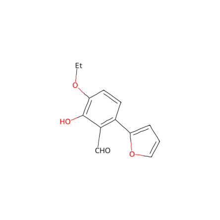 CCOc1ccc(-c2ccco2)c(C=O)c1O